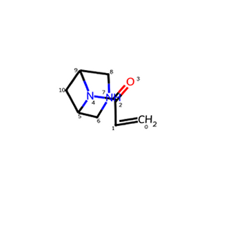 C=CC(=O)N1C2CNCC1C2